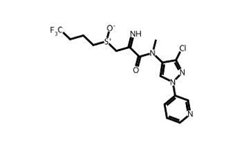 CN(C(=O)C(=N)C[S+]([O-])CCCC(F)(F)F)c1cn(-c2cccnc2)nc1Cl